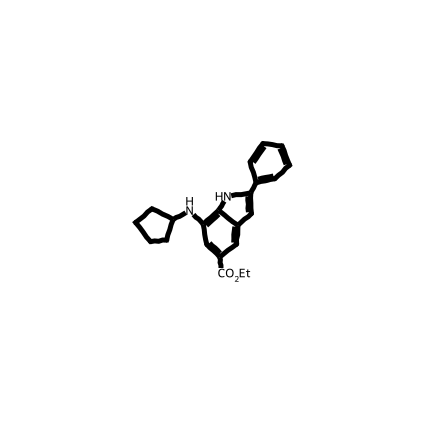 CCOC(=O)c1cc(NC2CCCC2)c2[nH]c(-c3ccccc3)cc2c1